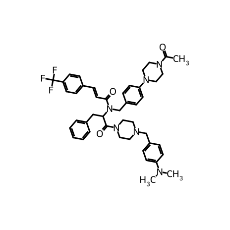 CC(=O)N1CCN(c2ccc(CN(C(=O)C=Cc3ccc(C(F)(F)F)cc3)C(Cc3ccccc3)C(=O)N3CCN(Cc4ccc(N(C)C)cc4)CC3)cc2)CC1